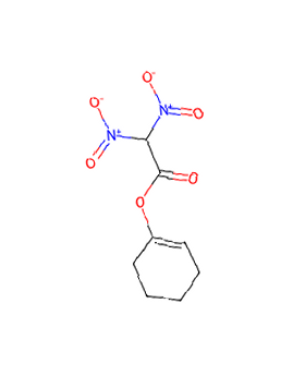 O=C(OC1=CCCCC1)C([N+](=O)[O-])[N+](=O)[O-]